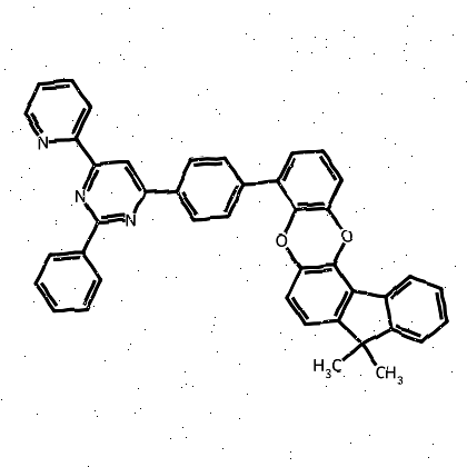 CC1(C)c2ccccc2-c2c1ccc1c2Oc2cccc(-c3ccc(-c4cc(-c5ccccn5)nc(-c5ccccc5)n4)cc3)c2O1